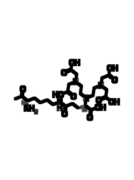 CC(=O)[C@@H](N)CCCCNC(=O)CC[C@@H](C(=O)O)N(CCN(CC(=O)O)CC(=O)O)CCN(CC(=O)O)CC(=O)O